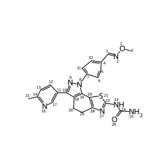 CON=Cc1ccc(-n2nc(-c3ccc(C)nc3)c3c2-c2sc(NC(N)=O)nc2CC3)cc1